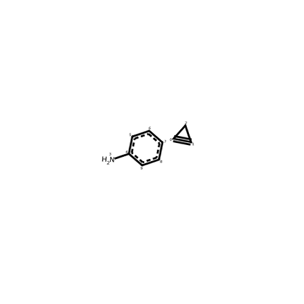 C1#CC1.Nc1ccccc1